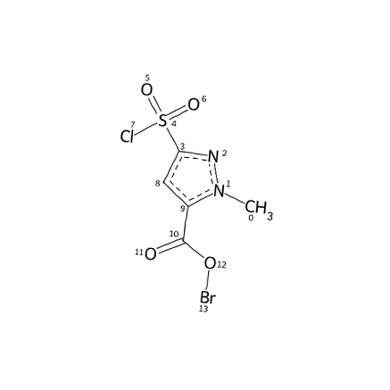 Cn1nc(S(=O)(=O)Cl)cc1C(=O)OBr